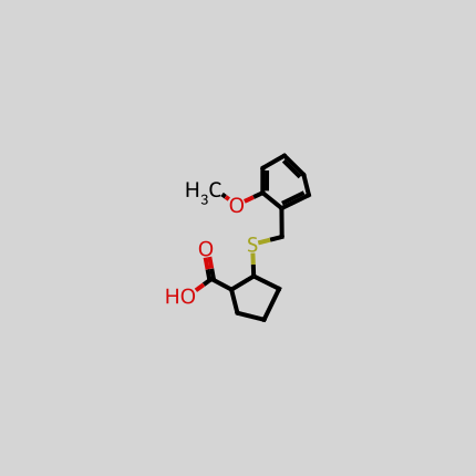 COc1ccccc1CSC1CCCC1C(=O)O